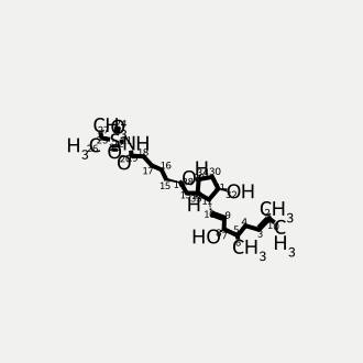 CC(C)=CCC(C)[C@H](O)/C=C/[C@@H]1[C@H]2C[C@@H](CCCCC(=O)NS(=O)(=O)C(C)C)O[C@H]2C[C@H]1O